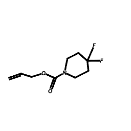 C=CCOC(=O)N1CCC(F)(F)CC1